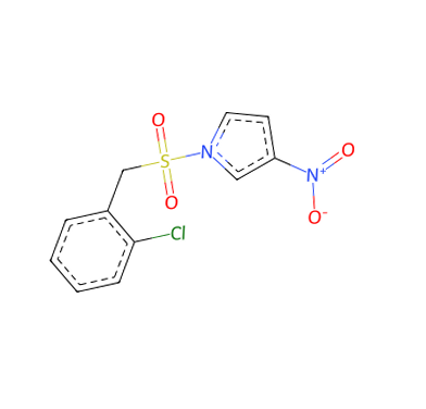 O=[N+]([O-])c1ccn(S(=O)(=O)Cc2ccccc2Cl)c1